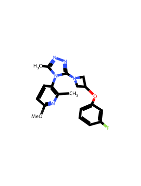 COc1ccc(-n2c(C)nnc2N2CC(Oc3cccc(F)c3)C2)c(C)n1